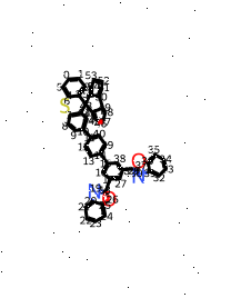 c1ccc2c(c1)Sc1ccc(-c3ccc(-c4cc(-c5nc6ccccc6o5)cc(-c5nc6ccccc6o5)c4)cc3)cc1C21c2ccccc2-c2ccccc21